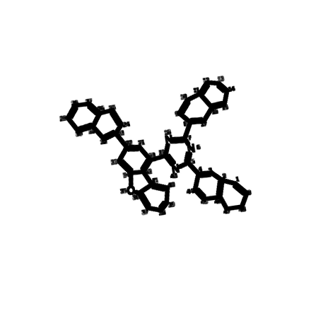 C1=Cc2cc(-c3nc(-c4ccc5ccccc5c4)nc(-c4cc(-c5ccc6ccccc6c5)cc5oc6ccccc6c45)n3)ccc2CC1